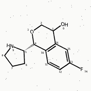 OC1COC([C@@H]2CCCN2)c2ccc(F)cc21